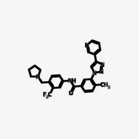 Cc1ccc(C(=O)Nc2ccc(CN3CCCC3)c(C(F)(F)F)c2)cc1-n1cc(-c2cccnc2)nn1